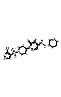 Cc1oncc1S(=O)(=O)N1CCC(n2ncc(NC[C@H]3CCCOC3)c(Cl)c2=O)CC1